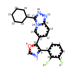 Fc1cccc(-c2ncoc2-c2ccc3nnc(C4CCCCC4)n3c2)c1F